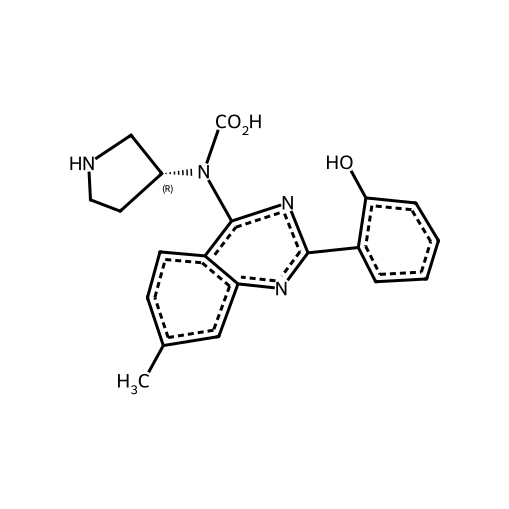 Cc1ccc2c(N(C(=O)O)[C@@H]3CCNC3)nc(-c3ccccc3O)nc2c1